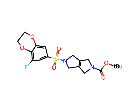 CC(C)(C)OC(=O)N1CC2=C(C1)CN(S(=O)(=O)c1cc(F)c3c(c1)OCCO3)C2